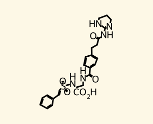 O=C(CCc1ccc(C(=O)NC[C@H](NS(=O)(=O)/C=C/c2ccccc2)C(=O)O)cc1)NC1=NCCCN1